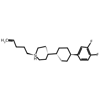 C=CCCC[Si@H]1CC[C@H]([C@H]2CC[C@H](c3ccc(F)c(F)c3)CC2)CC1